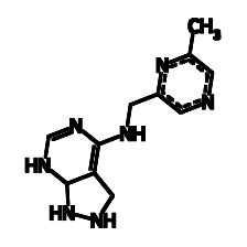 Cc1cncc(CNC2=C3CNNC3NC=N2)n1